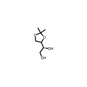 CC1(C)OCC([C@@H](O)CO)O1